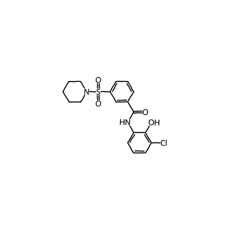 O=C(Nc1cccc(Cl)c1O)c1cccc(S(=O)(=O)N2CCCCC2)c1